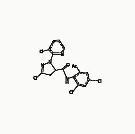 CC(=O)c1cc(Cl)cc(Cl)c1NC(=O)C1CC(Cl)=NN1c1ncccc1Cl